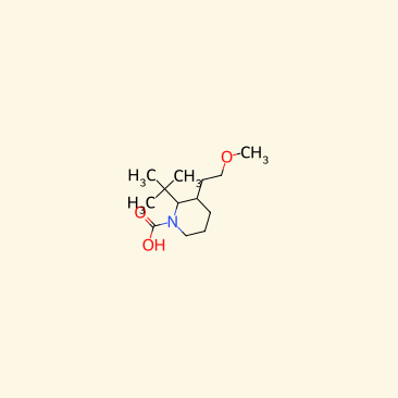 COCCC1CCCN(C(=O)O)C1C(C)(C)C